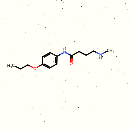 CCCOc1ccc(NC(=O)CCCNC)cc1